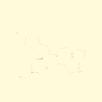 COC(=O)CN(CCc1c[nH]c2ccccc12)C(=O)c1nc(C)sc1-c1ccc(F)c(F)c1